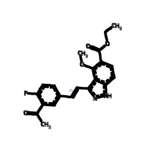 CCOC(=O)c1ccc2[nH]nc(/C=C/c3ccc(F)c(C(C)=O)c3)c2c1OC